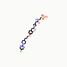 O=C(CC1CN(C(=O)Cc2ccc(OCCCC3CCN(c4ncc(Cl)cn4)CC3)cc2F)C1)NCCS(=O)(=O)O